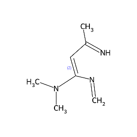 C=N/C(=C\C(C)=N)N(C)C